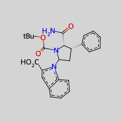 CC(C)(C)OC(=O)N1C(n2c(C(=O)O)cc3ccccc32)C[C@@H](c2ccccc2)[C@H]1C(N)=O